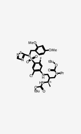 COc1ccc(CN(c2ncns2)S(=O)(=O)c2cc(Cl)c(NCC(CN(C(=O)OC(C)(C)C)C(C)C)[C@@H](C)NC(=O)OC(C)(C)C)cc2F)c(OC)c1